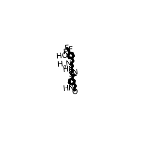 N[C@@H](CNc1ncc(-c2ccc3c(c2)CC(=O)N3)s1)Cc1ccc(C(F)(F)F)c(O)c1